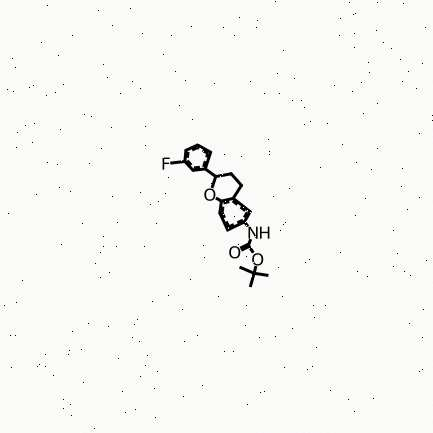 CC(C)(C)OC(=O)Nc1ccc2c(c1)CCC(c1cccc(F)c1)O2